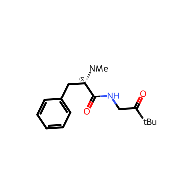 CN[C@@H](Cc1ccccc1)C(=O)NCC(=O)C(C)(C)C